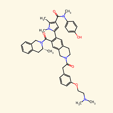 Cc1c(C(=O)N(C)c2ccc(O)cc2)cc(-c2cc3c(cc2C(=O)N2Cc4ccccc4C[C@H]2C)CN(C(=O)Cc2cccc(OCCN(C)C)c2)CC3)n1C